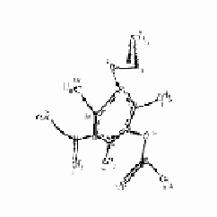 C=COc1c(C)c(OC(C)=O)c(C)c(C(=C)C)c1C